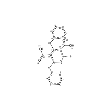 Cc1cc(Cc2ccccc2)c(C(=O)O)c(Cc2ccccc2)c1C(=O)O